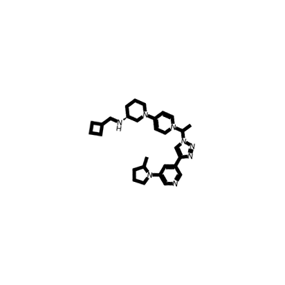 CC1CCCN1c1cncc(-c2cn(C(C)N3C=CC(N4CCC[C@@H](NCC5CCC5)C4)=CC3)nn2)c1